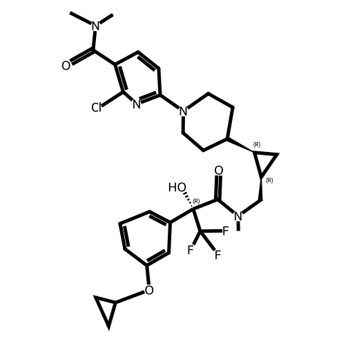 CN(C)C(=O)c1ccc(N2CCC([C@H]3C[C@H]3CN(C)C(=O)[C@](O)(c3cccc(OC4CC4)c3)C(F)(F)F)CC2)nc1Cl